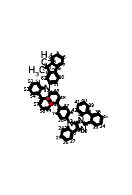 CC1(C)c2ccccc2-c2ccc(N(c3ccc(-c4ccc(-n5c6ccccc6c6nc7c8ccccc8c8ccccc8n7c65)cc4)cc3)c3ccccc3-c3ccccc3)cc21